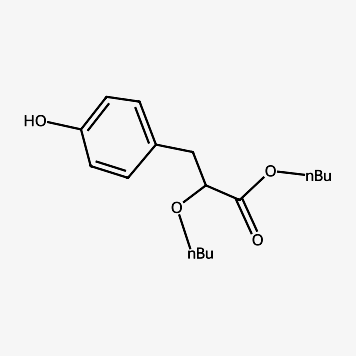 CCCCOC(=O)C(Cc1ccc(O)cc1)OCCCC